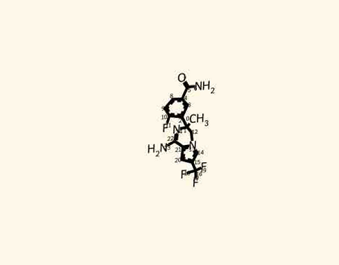 CC1(c2cc(C(N)=O)ccc2F)Cn2cc(C(F)(F)F)cc2C(N)=N1